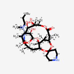 CC[C@H]1OC(=O)[C@H](C)[C@H]2OC3(CCNCC3)O[C@@](C)(C[C@@H](C)CN(C)[C@H](C)[C@@H](O)[C@]1(C)O)[C@H](O[C@@H]1O[C@H](C)C[C@H](N(C)CCC(C)(C)C)[C@H]1O)[C@H]2C